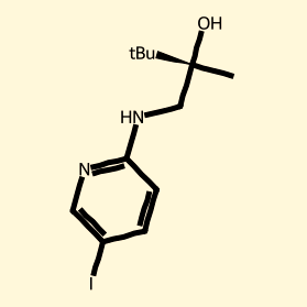 CC(C)(C)[C@](C)(O)CNc1ccc(I)cn1